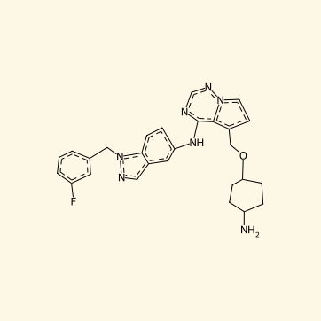 NC1CCC(OCc2ccn3ncnc(Nc4ccc5c(cnn5Cc5cccc(F)c5)c4)c23)CC1